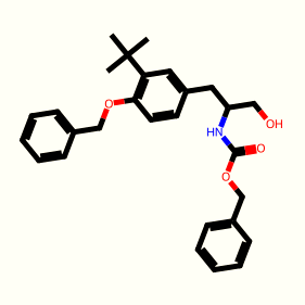 CC(C)(C)c1cc(CC(CO)NC(=O)OCc2ccccc2)ccc1OCc1ccccc1